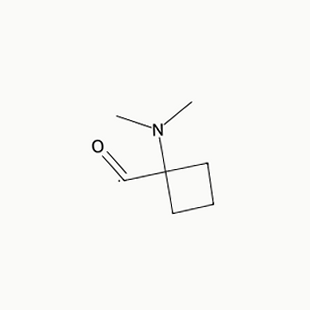 CN(C)C1([C]=O)CCC1